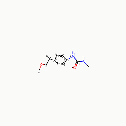 CNC(=O)Nc1ccc(C(C)COC)cc1